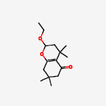 CCOC1CC(C)(C)C2=C(CC(C)(C)CC2=O)O1